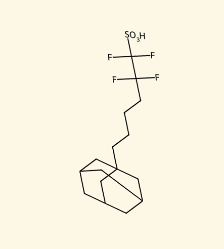 O=S(=O)(O)C(F)(F)C(F)(F)CCCCC12CC3CC(CC(C3)C1)C2